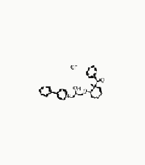 CC1(C(=O)c2ccccc2)C=CC=CC1OCC(O)C[n+]1ccc(-c2ccccc2)cc1.[Cl-]